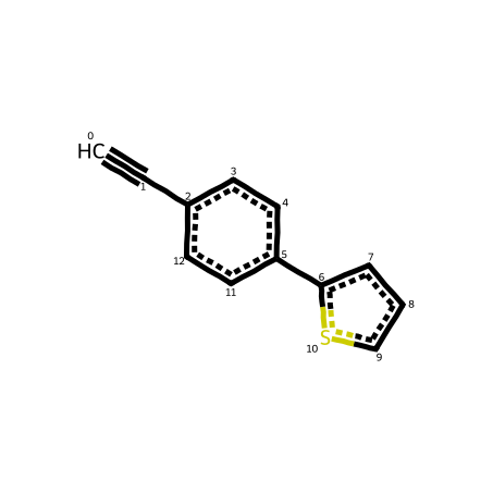 C#Cc1ccc(-c2cccs2)cc1